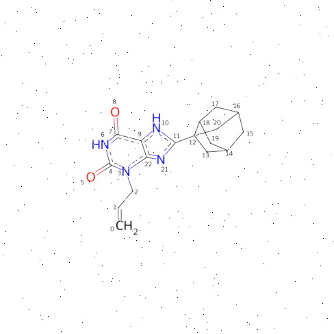 C=CCn1c(=O)[nH]c(=O)c2[nH]c(C34CC5CC(CC3C5)C4)nc21